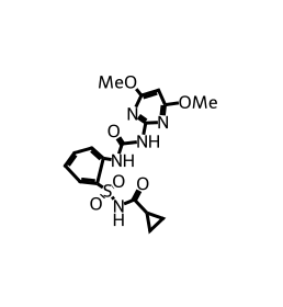 COc1cc(OC)nc(NC(=O)Nc2ccccc2S(=O)(=O)NC(=O)C2CC2)n1